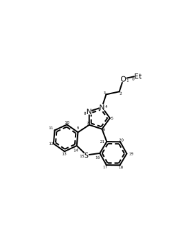 [CH2]COCCn1cc2c(n1)-c1ccccc1Sc1ccccc1-2